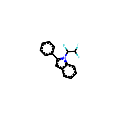 FC(F)C(F)n1c(-c2ccccc2)cc2ccccc21